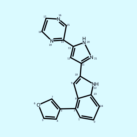 c1cc(-c2ccoc2)c2cc(-c3cc(-c4cnccn4)[nH]n3)[nH]c2c1